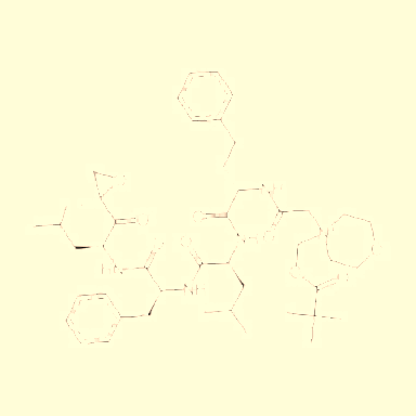 CC(C)C[C@H](NC(=O)[C@H](CCc1ccccc1)NC(=O)C[N+]1(COC(=O)C(C)(C)C)CCOCC1)C(=O)N[C@@H](Cc1ccccc1)C(=O)N[C@@H](CC(C)C)C(=O)[C@@]1(C)CO1